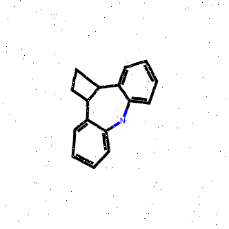 c1ccc2c(c1)[N]c1ccccc1C1CCC21